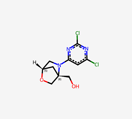 OC[C@]12CO[C@H](CN1c1cc(Cl)nc(Cl)n1)C2